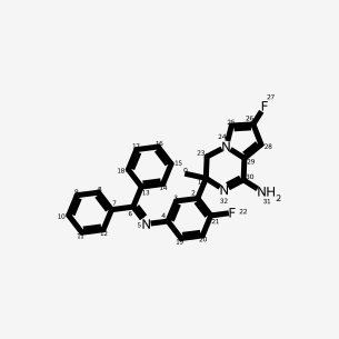 CC1(c2cc(N=C(c3ccccc3)c3ccccc3)ccc2F)Cn2cc(F)cc2C(N)=N1